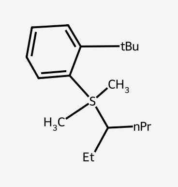 CCCC(CC)S(C)(C)c1ccccc1C(C)(C)C